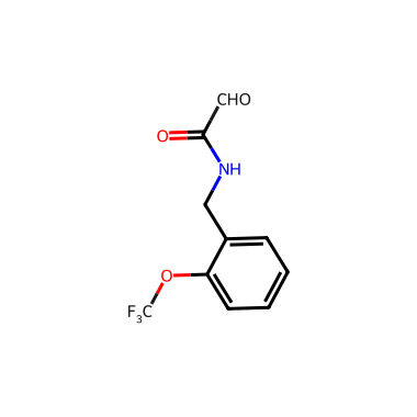 O=CC(=O)NCc1ccccc1OC(F)(F)F